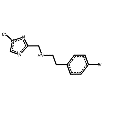 CCn1cnc(CNCCc2ccc(Br)cc2)n1